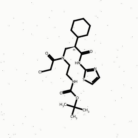 CC(C)(C)OC(=O)NCCN(C[C@H](C(=O)Nc1nccs1)C1CCCCC1)C(=O)CCl